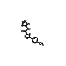 Cc1ccc(-c2csc(C(=O)Nc3nnn[nH]3)n2)cc1